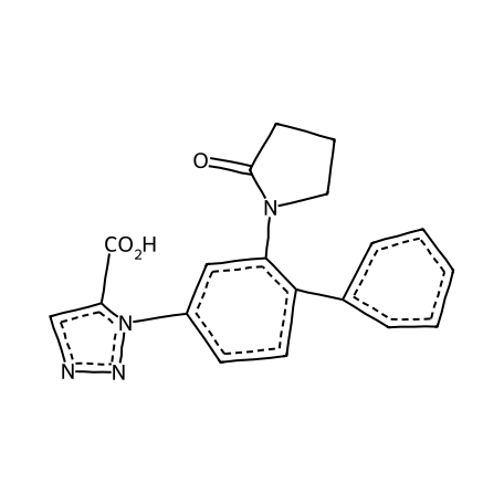 O=C(O)c1cnnn1-c1ccc(-c2ccccc2)c(N2CCCC2=O)c1